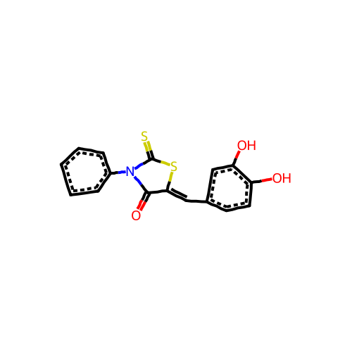 O=C1C(=Cc2ccc(O)c(O)c2)SC(=S)N1c1ccccc1